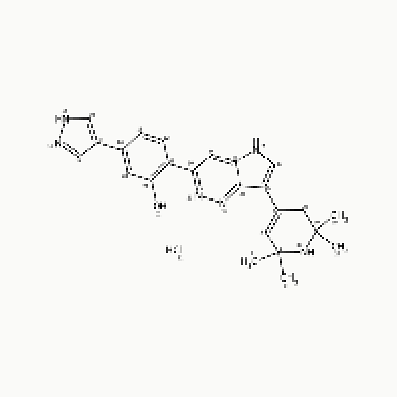 CC1(C)C=C(c2c[nH]c3cc(-c4ccc(-c5cn[nH]c5)cc4O)nnc23)CC(C)(C)N1.Cl